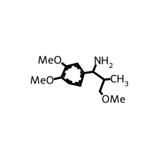 COCC(C)C(N)c1ccc(OC)c(OC)c1